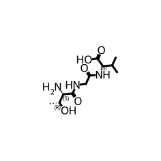 CC(C)[C@H](NC(=O)CNC(=O)[C@@H](N)[C@@H](C)O)C(=O)O